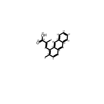 CC(=Cc1c(C)ccc2cc3ccccc3cc12)C(=O)O